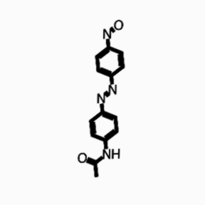 CC(=O)Nc1ccc(N=Nc2ccc(N=O)cc2)cc1